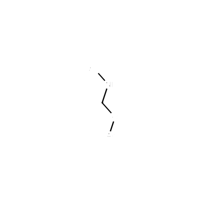 CC(=O)NCOC(C)=O